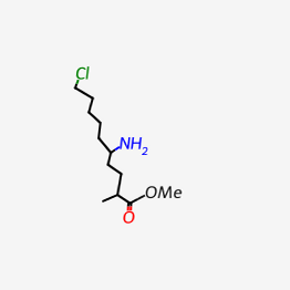 COC(=O)C(C)CCC(N)CCCCCCl